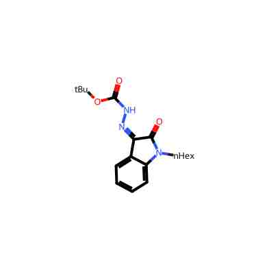 CCCCCCN1C(=O)C(=NNC(=O)OC(C)(C)C)c2ccccc21